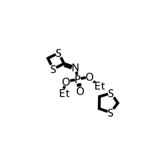 C1CSCS1.CCOP(=O)(N=C1SCS1)OCC